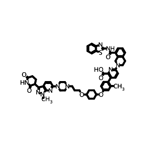 Cc1cc(OC2CCC(OCCCN3CCN(c4ccc5c(C6CCC(=O)NC6=O)nn(C)c5n4)CC3)CC2)ccc1-c1ccc(N2CCc3cccc(C(=O)Nc4nc5ccccc5s4)c3C2)nc1C(=O)O